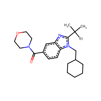 CCC(C)(C)c1nc2cc(C(=O)N3CCOCC3)ccc2n1CC1CCCCC1